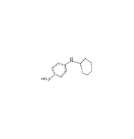 O=C(O)c1ccc(NC2CCCCC2)cc1